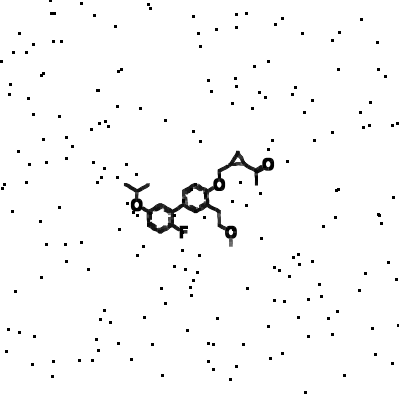 COCCc1cc(-c2cc(OC(C)C)ccc2F)ccc1OCC1CC1C(C)=O